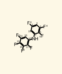 Fc1cc(F)c(F)c(Nc2cc(F)c(F)c(F)c2F)c1